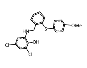 COc1ccc(Sc2ccccc2CNc2cc(Cl)cc(Cl)c2O)cc1